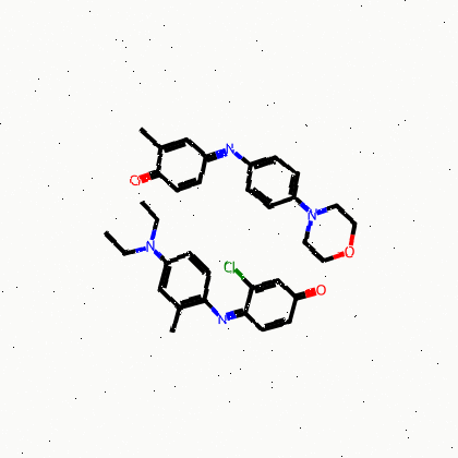 CC1=CC(=Nc2ccc(N3CCOCC3)cc2)C=CC1=O.CCN(CC)c1ccc(N=C2C=CC(=O)C=C2Cl)c(C)c1